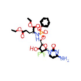 CCOC(=O)CC[C@H](NP(=O)(OC[C@H]1O[C@@H](n2ccc(N)nc2=O)C(F)(F)C1O)Oc1ccccc1)C(=O)OCC